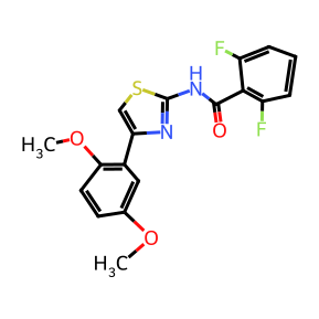 COc1ccc(OC)c(-c2csc(NC(=O)c3c(F)cccc3F)n2)c1